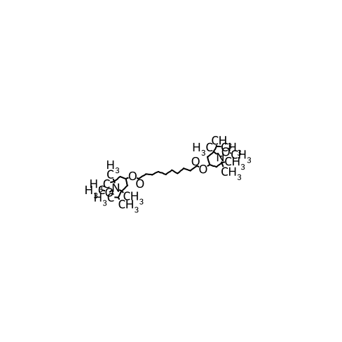 CON1C(C)(C)CC(OC(=O)CCCCCCCCC(=O)OC2CC(C)(C)N(OC)C(C)(C(C)C)C2)CC1(C)C(C)C